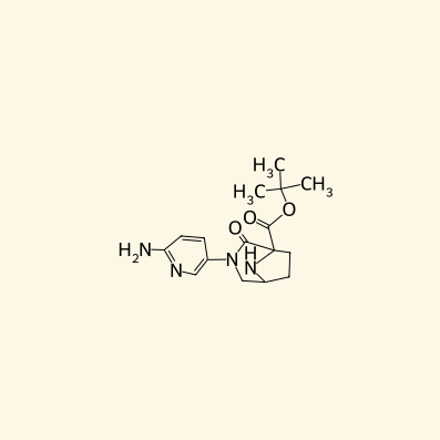 CC(C)(C)OC(=O)C12CCC(CN(c3ccc(N)nc3)C1=O)N2